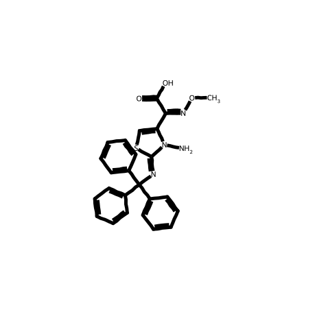 CON=C(C(=O)O)c1csc(=NC(c2ccccc2)(c2ccccc2)c2ccccc2)n1N